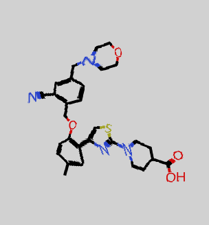 Cc1ccc(OCc2ccc(CN3CCOCC3)cc2C#N)c(-c2csc(N3CCC(C(=O)O)CC3)n2)c1